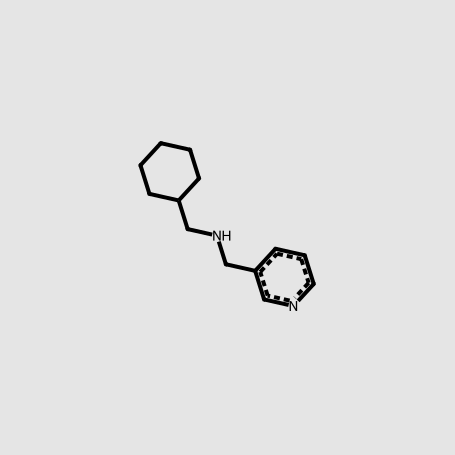 c1cncc(CNCC2CCCCC2)c1